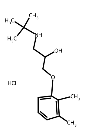 Cc1cccc(OCC(O)CNC(C)(C)C)c1C.Cl